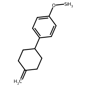 C=C1CCC(c2ccc(O[SiH3])cc2)CC1